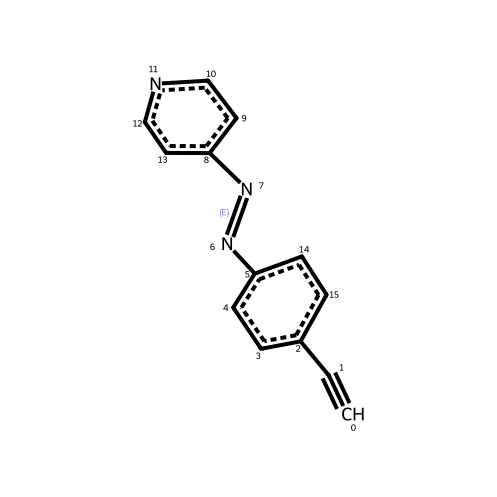 C#Cc1ccc(/N=N/c2ccncc2)cc1